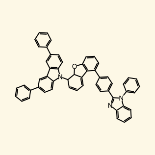 C1=CC(n2c3ccc(-c4ccccc4)cc3c3cc(-c4ccccc4)ccc32)C2Oc3cccc(-c4ccc(-c5nc6ccccc6n5-c5ccccc5)cc4)c3C2=C1